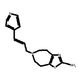 Nc1nc2c(s1)CCN(CC=Cc1ccncc1)CC2